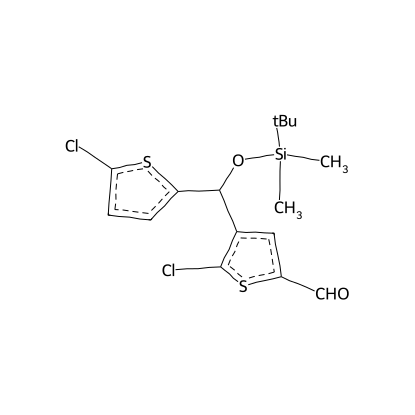 CC(C)(C)[Si](C)(C)OC(c1ccc(Cl)s1)c1cc(C=O)sc1Cl